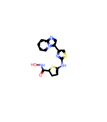 O=C(NO)C1CC=C(Nc2nc(-c3cnc4ccccn34)cs2)S1